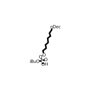 CCCCCCCCCCCCCCCCCCOOP(=O)(O)OCC(C)C